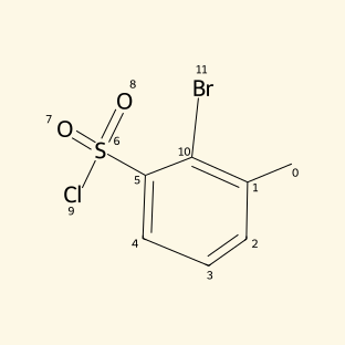 Cc1cccc(S(=O)(=O)Cl)c1Br